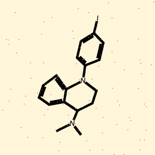 CN(C)C1CCN(c2ccc(I)cc2)c2ccccc21